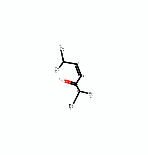 CCC(/C=C\C(=O)C(CC)CC)CC